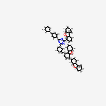 c1ccc(-c2ccc(-c3nc(-c4cccc(-c5ccc(-c6ccc7c(c6)oc6ccccc67)c6oc7ccccc7c56)c4)nc(-c4cccc5c4oc4ccccc45)n3)cc2)cc1